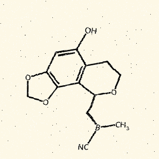 CB(C#N)CC1OCCc2c(O)cc3c(c21)OCO3